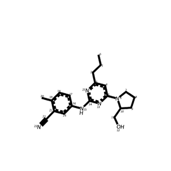 CCCc1cc(N2CCCC2CO)nc(Nc2ccc(C)c(C#N)c2)n1